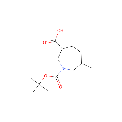 CC1CCC(C(=O)O)CN(C(=O)OC(C)(C)C)C1